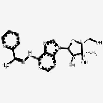 CC(=NNc1ncnc2c1ncn2C1O[C@H](CO)[C@@](C)(O)[C@H]1O)c1ccccn1